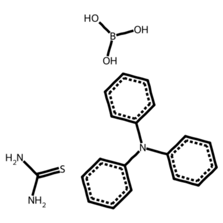 NC(N)=S.OB(O)O.c1ccc(N(c2ccccc2)c2ccccc2)cc1